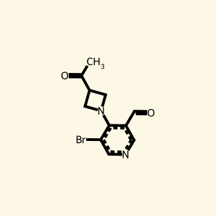 CC(=O)C1CN(c2c(Br)cncc2C=O)C1